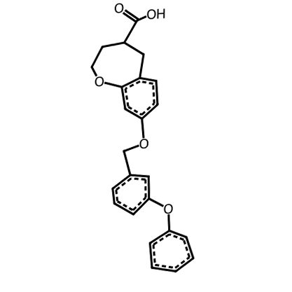 O=C(O)C1CCOc2cc(OCc3cccc(Oc4ccccc4)c3)ccc2C1